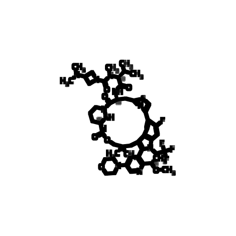 CO[C@@H](C)c1ncc(N2CCOCC2)cc1-c1c2c3cc(c(F)cc3n1CC(F)(F)F)-c1csc(n1)C[C@H](NC(=O)[C@H](C(C)C)N(C)C(=O)N1CC(N(C)C)C1)C(=O)N1CCC[C@H](N1)C(=O)OCC(C)(C)C2